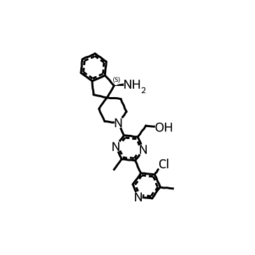 Cc1cncc(-c2nc(CO)c(N3CCC4(CC3)Cc3ccccc3[C@H]4N)nc2C)c1Cl